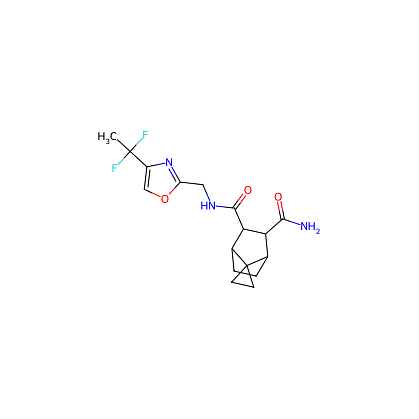 CC(F)(F)c1coc(CNC(=O)C2C(C(N)=O)C3CCC2C32CC2)n1